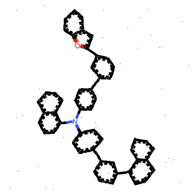 c1cc(-c2ccc(N(c3ccc(-c4cccc(-c5cccc6ccccc56)c4)cc3)c3cccc4ccccc34)cc2)cc(-c2cc3ccccc3o2)c1